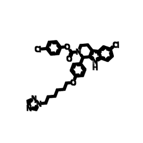 O=C(Oc1ccc(Cl)cc1)N1CCc2c([nH]c3ccc(Cl)cc23)C1c1ccc(OCCCCCCn2cncn2)cc1